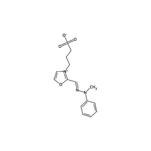 CN(/N=C/c1occ[n+]1CCCS(=O)(=O)[O-])c1ccccc1